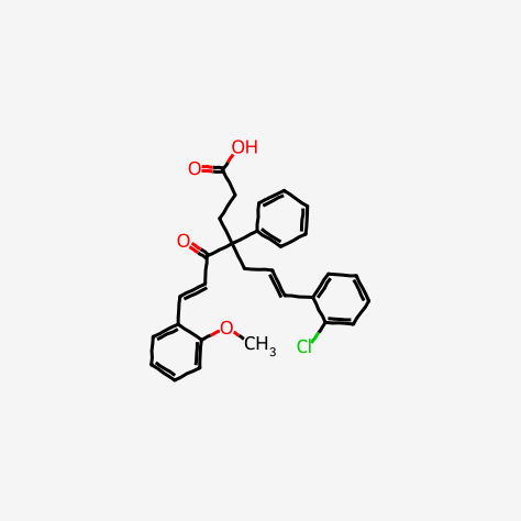 COc1ccccc1/C=C/C(=O)C(C/C=C/c1ccccc1Cl)(CCC(=O)O)c1ccccc1